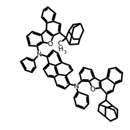 CC1(c2cc3ccccc3c3c2oc2c(N(c4ccccc4)c4ccc5ccc6c(N(c7ccccc7)c7cccc8c7oc7c(C9C%10CC%11CC(C%10)CC9C%11)cc9ccccc9c78)ccc7ccc4c5c76)cccc23)C2CC3CC(C2)CC1C3